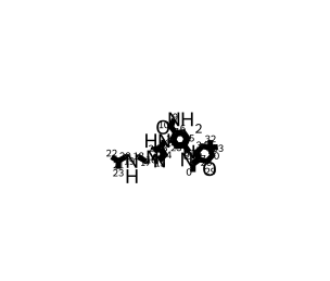 Cc1nn(-c2ccc(C(N)=O)c(Nc3cnn(CCNCC(C)C)c3)c2)c2c1C(=O)CC(C)(C)C2